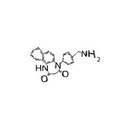 NCc1ccc(N2C(=O)CC(=O)Nc3c2ccc2ccccc32)cc1